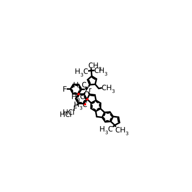 Cl.Cl.[CH2]=[Zr]([C]1=CC(C(C)(C)C)=CC1CC)([C]1=Cc2cc3c(cc2C1(C)C)Cc1cc2c(cc1-3)C=CC2(C)C)([c]1ccc(F)cc1)[c]1ccc(F)cc1